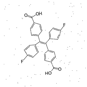 O=C(O)c1ccc(/C(=C(\c2ccc(F)cc2)c2ccc(C(=O)O)cc2)c2ccc(F)cc2)cc1